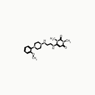 COc1ccccc1N1CCN(NCCNc2cc(=O)n(C)c(=O)n2C)CC1